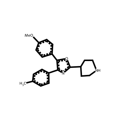 COc1ccc(-c2oc(C3CCNCC3)nc2-c2ccc(C)cc2)cc1